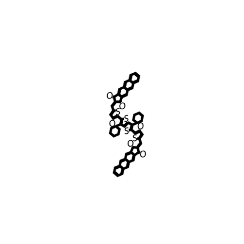 O=C1C(=Cc2cc3c(s2)-c2sc4c5c(sc4c2C2(CCCCC2)O3)-c2sc(C=C3C(=O)c4cc6cc7ccccc7cc6cc4C3=O)cc2OC52CCCCC2)C(=O)c2cc3cc4ccccc4cc3cc21